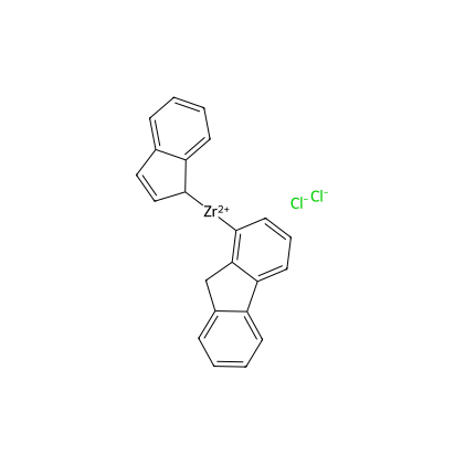 C1=C[CH]([Zr+2][c]2cccc3c2Cc2ccccc2-3)c2ccccc21.[Cl-].[Cl-]